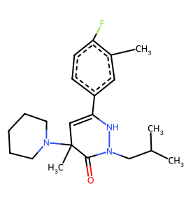 Cc1cc(C2=CC(C)(N3CCCCC3)C(=O)N(CC(C)C)N2)ccc1F